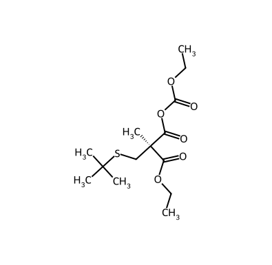 CCOC(=O)OC(=O)[C@](C)(CSC(C)(C)C)C(=O)OCC